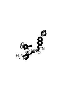 C#Cc1cc2c(cc1Sc1nc3c(N)nccc3n1CCCNC(=O)/C(C#N)=C/c1ccc3cc(N4CCN(C)CC4)ccc3c1)OCO2